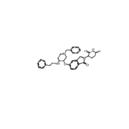 O=C1CCC(N2Cc3cc(O[C@@H]4CN(Cc5ccccc5)CCC4NCCc4ccccc4)ccc3C2=O)C(=O)N1